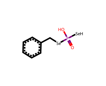 O=P(O)([SeH])[Se]Cc1ccccc1